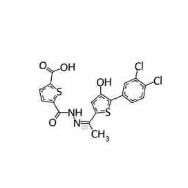 C/C(=N/NC(=O)c1ccc(C(=O)O)s1)c1cc(O)c(-c2ccc(Cl)c(Cl)c2)s1